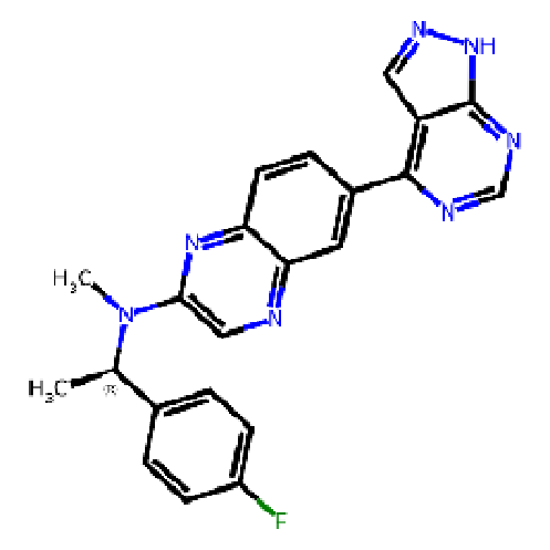 C[C@H](c1ccc(F)cc1)N(C)c1cnc2cc(-c3ncnc4[nH]ncc34)ccc2n1